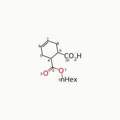 CCCCCCOC(=O)C1CC=CCC1C(=O)O